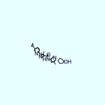 Cc1cc(NC(=O)c2cnn(-c3ccc(C4CC4)cn3)c2C)cnc1[C@H]1CC[C@@H](O)CC1